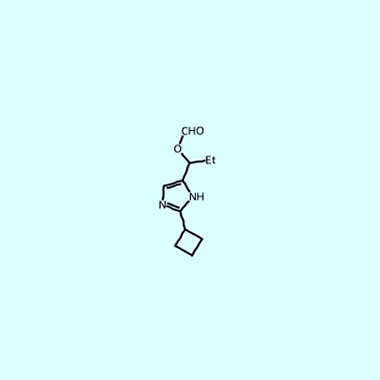 CCC(OC=O)c1cnc(C2CCC2)[nH]1